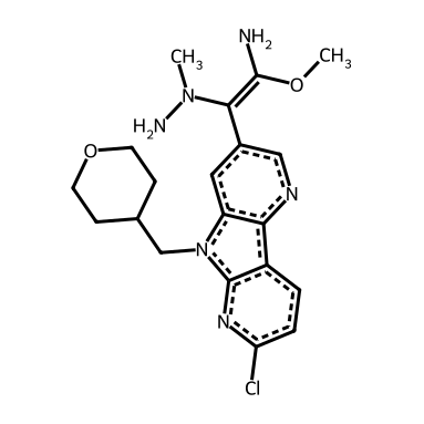 CO/C(N)=C(\c1cnc2c3ccc(Cl)nc3n(CC3CCOCC3)c2c1)N(C)N